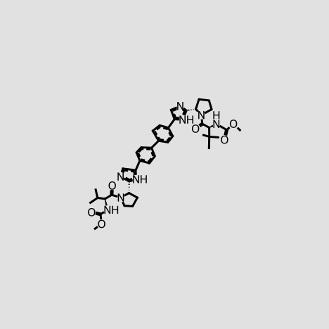 COC(=O)N[C@H](C(=O)N1CCC[C@H]1c1ncc(-c2ccc(-c3ccc(-c4cnc([C@@H]5CCCN5C(=O)[C@@H](NC(=O)OC)C(C)(C)C)[nH]4)cc3)cc2)[nH]1)C(C)C